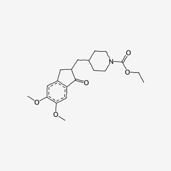 CCOC(=O)N1CCC(CC2Cc3cc(OC)c(OC)cc3C2=O)CC1